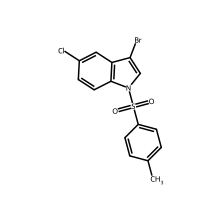 Cc1ccc(S(=O)(=O)n2cc(Br)c3cc(Cl)ccc32)cc1